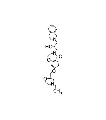 CCN1CCOC(COc2ccc3c(c2)OCCN(CC(O)CN2CCc4ccccc4C2)C3=O)C1